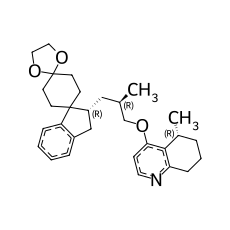 C[C@@H](COc1ccnc2c1[C@H](C)CCC2)C[C@@H]1Cc2ccccc2C12CCC1(CC2)OCCO1